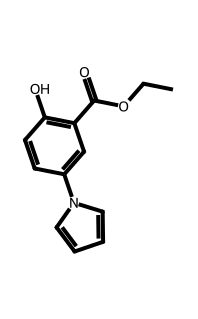 CCOC(=O)c1cc(-n2cccc2)ccc1O